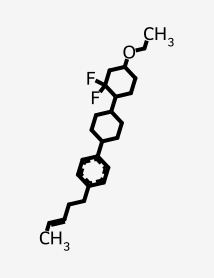 C/C=C/CCc1ccc(C2CCC(C3CCC(OCC)CC3(F)F)CC2)cc1